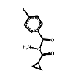 NN(C(=O)c1ccc(I)cc1)C(=O)C1CC1